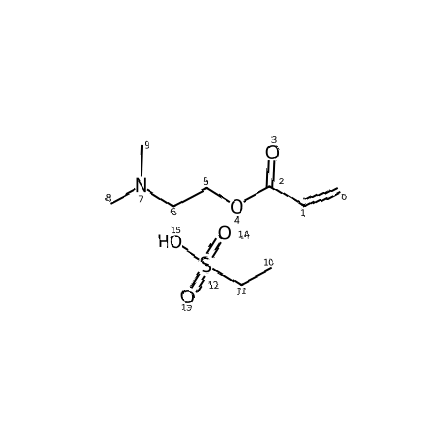 C=CC(=O)OCCN(C)C.CCS(=O)(=O)O